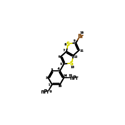 CCCc1ccc(-c2cc3sc(Br)cc3s2)c(CCC)c1